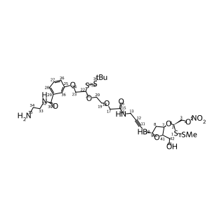 CSS[C@H](CO[N+](=O)[O-])O[C@@H]1C[C@H](BC#CCNC(=O)COCCOC(COc2cccc(C(=O)NCCN)c2)SSC(C)(C)C)OC1CO